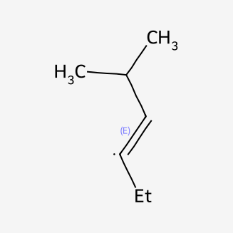 CC/[C]=C/C(C)C